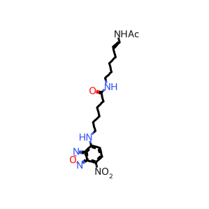 CC(=O)NC=CCCCCNC(=O)CCCCCNc1ccc([N+](=O)[O-])c2nonc12